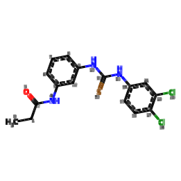 CCC(=O)Nc1cccc(NC(=S)Nc2ccc(Cl)c(Cl)c2)c1